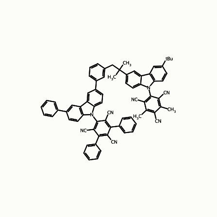 Cc1c(C#N)c(C)c(C#N)c(-n2c3ccc(C(C)(C)C)cc3c3cc(C(C)(C)Cc4cccc(-c5ccc6c(c5)c5cc(-c7ccccc7)ccc5n6-c5c(C#N)c(-c6ccccc6)c(C#N)c(-c6ccccc6)c5C#N)c4)ccc32)c1C#N